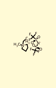 CC[N+]1(C)CCCC1.O=S(=O)([N-]S(=O)(=O)C(F)(F)F)C(F)(F)F